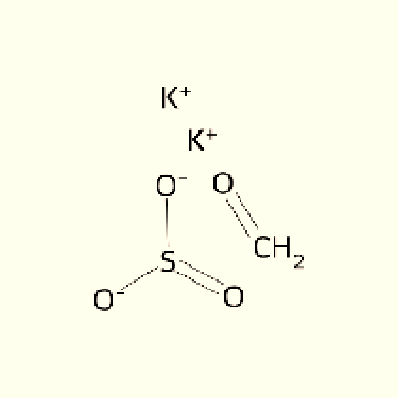 C=O.O=S([O-])[O-].[K+].[K+]